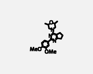 COc1ccc(-c2nc3c(c(N4CC(C)OC(C)C4)n2)CCC3)cc1OC